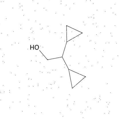 OCC(C1CC1)C1CC1